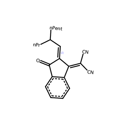 CCCCCC(/C=C1\C(=O)c2ccccc2C1=C(C#N)C#N)CCC